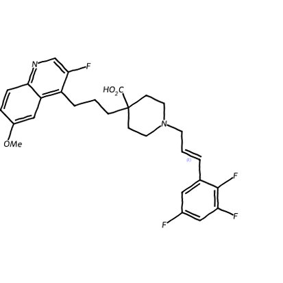 COc1ccc2ncc(F)c(CCCC3(C(=O)O)CCN(C/C=C/c4cc(F)cc(F)c4F)CC3)c2c1